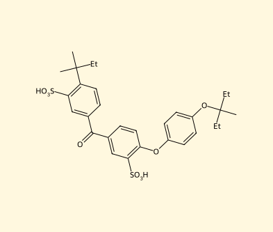 CCC(C)(CC)Oc1ccc(Oc2ccc(C(=O)c3ccc(C(C)(C)CC)c(S(=O)(=O)O)c3)cc2S(=O)(=O)O)cc1